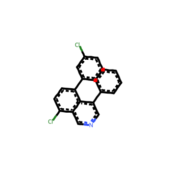 Clc1cccc(-c2ccc(Cl)c3cncc(-c4ccccc4)c23)c1